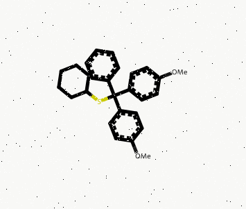 COc1ccc(C(SC2CCCCC2)(c2ccccc2)c2ccc(OC)cc2)cc1